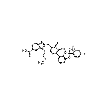 COCCn1c(Cc2ccc(-c3cccc4c3OC(C)(c3ccc(Cl)cc3F)O4)n(C)c2=O)nc2ccc(C(=O)O)cc21